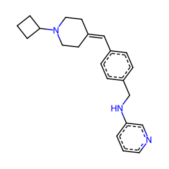 C(=C1CCN(C2CCC2)CC1)c1ccc(CNc2cccnc2)cc1